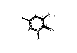 Cc1cc(N)c(=O)n(C)n1